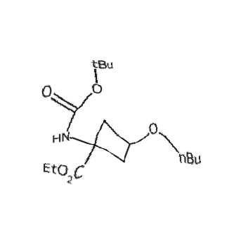 CCCCOC1CC(NC(=O)OC(C)(C)C)(C(=O)OCC)C1